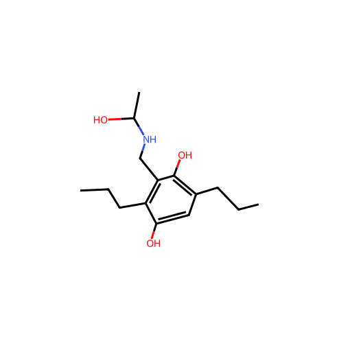 CCCc1cc(O)c(CCC)c(CNC(C)O)c1O